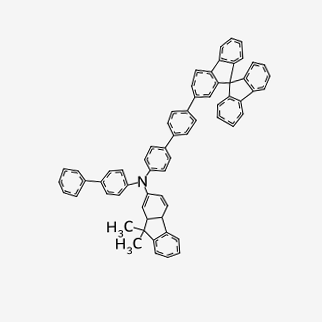 CC1(C)c2ccccc2C2C=CC(N(c3ccc(-c4ccccc4)cc3)c3ccc(-c4ccc(-c5ccc6c(c5)C5(c7ccccc7-c7ccccc75)c5ccccc5-6)cc4)cc3)=CC21